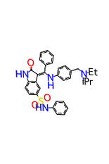 CCN(Cc1ccc(NC(=C2C(=O)Nc3ccc(S(=O)(=O)Nc4ccccc4)cc32)c2ccccc2)cc1)C(C)C